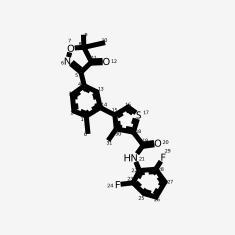 Cc1ccc(C2=NOC(C)(C)C2=O)cc1-c1csc(C(=O)Nc2c(F)cccc2F)c1C